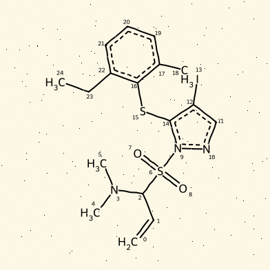 C=CC(N(C)C)S(=O)(=O)n1ncc(I)c1Sc1c(C)cccc1CC